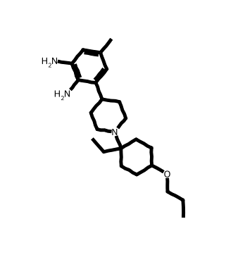 CCCOC1CCC(CC)(N2CCC(c3cc(C)cc(N)c3N)CC2)CC1